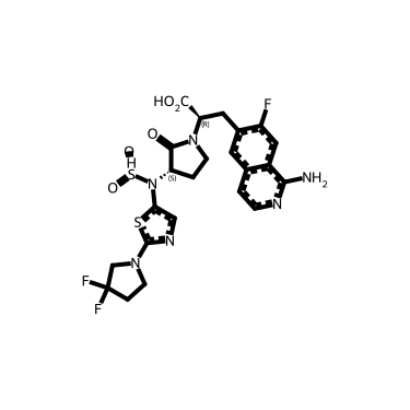 Nc1nccc2cc(C[C@H](C(=O)O)N3CC[C@H](N(c4cnc(N5CCC(F)(F)C5)s4)[SH](=O)=O)C3=O)c(F)cc12